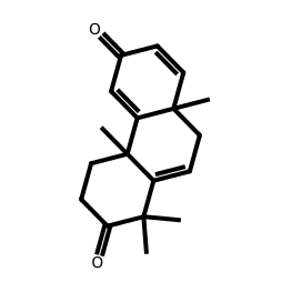 CC12C=CC(=O)C=C1C1(C)CCC(=O)C(C)(C)C1=CC2